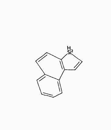 C1=Cc2c(ccc3ccccc23)[SiH2]1